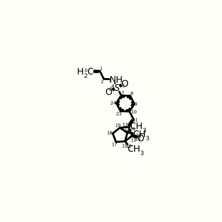 C=CCNS(=O)(=O)c1ccc(/C=C2/C(=O)C3(C)CCC2C3(C)C)cc1